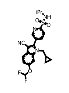 CC(C)NS(=O)(=O)c1ccc(-c2c(C#N)c3ccc(OC(F)F)cc3n2CC2CC2)cn1